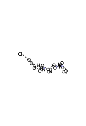 CN1C(=O)/C(=C/c2cc3c4c(c2)CCCN4CCC3)N=C1/C=C/C(=O)OC(C)(C)CC1CCN2CCCc3cc(/C=C4\N=C(C=O)N(C5CCC(C(=O)NCCOCCOCCCCCCCl)CC5)C4=O)cc1c32